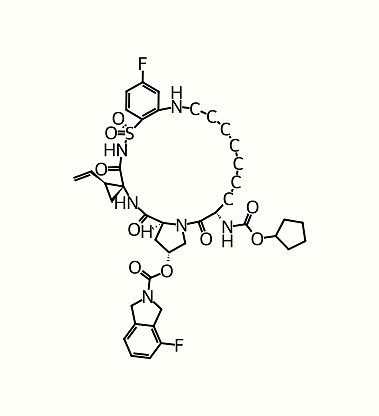 C=C[C@@H]1C[C@@]12NC(=O)[C@@H]1C[C@@H](OC(=O)N3Cc4cccc(F)c4C3)CN1C(=O)[C@@H](NC(=O)OC1CCCC1)CCCCCCCNc1cc(F)ccc1S(=O)(=O)NC2=O